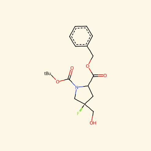 CC(C)(C)OC(=O)N1C[C@@](F)(CO)CC1C(=O)OCc1ccccc1